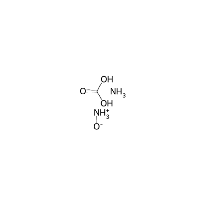 N.O=C(O)O.[NH3+][O-]